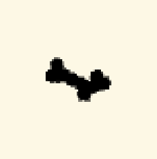 c1ccc(N2c3ccccc3Sc3cc(-c4ccc(-c5ccc6c(c5)c5ccccc5n6-c5ccc6c7ccccc7c7ccccc7c6c5)cc4)ccc32)cc1